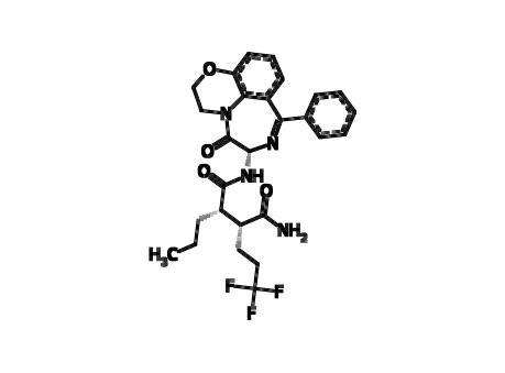 CCC[C@H](C(=O)N[C@H]1N=C(c2ccccc2)c2cccc3c2N(CCO3)C1=O)[C@@H](CCC(F)(F)F)C(N)=O